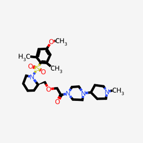 COc1cc(C)c(S(=O)(=O)N2CCCC[C@@H]2COCC(=O)N2CCN(C3CCN(C)CC3)CC2)c(C)c1